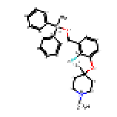 CC(C)(C)C1(Oc2cccc(CO[Si](c3ccccc3)(c3ccccc3)C(C)(C)C)c2F)CCN(C(=O)O)CC1